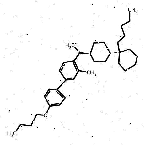 CCCCCC1([C@H]2CC[C@H](C(C)c3ccc(-c4ccc(OCCCC)cc4)cc3C)CC2)CCCCC1